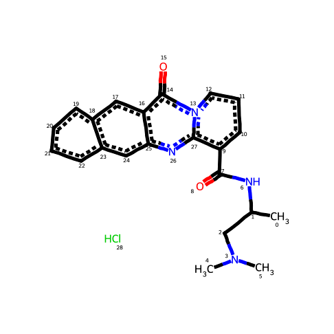 CC(CN(C)C)NC(=O)c1cccn2c(=O)c3cc4ccccc4cc3nc12.Cl